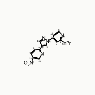 CCCc1cc(-n2cc(-c3ccc([N+](=O)[O-])cn3)cn2)ccn1